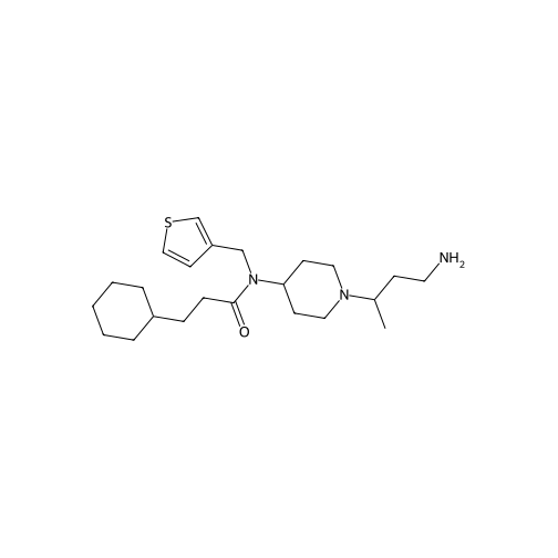 CC(CCN)N1CCC(N(Cc2ccsc2)C(=O)CCC2CCCCC2)CC1